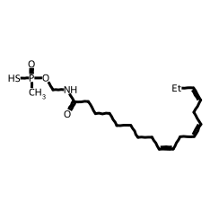 CC/C=C\C/C=C\C/C=C\CCCCCCCC(=O)NCOP(C)(=O)S